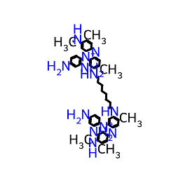 CNc1cc2c(cc1C)nc1cc(C)c(NCCCCCCCCNc3cc4c(cc3C)nc3cc(C)c(NC)cc3[n+]4-c3ccc(N)cc3N)cc1[n+]2-c1ccc(N)cc1N